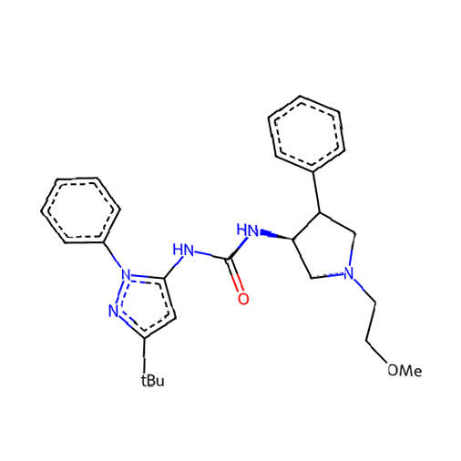 COCCN1CC(c2ccccc2)[C@H](NC(=O)Nc2cc(C(C)(C)C)nn2-c2ccccc2)C1